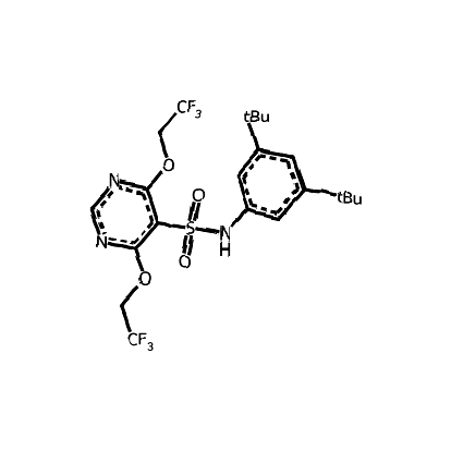 CC(C)(C)c1cc(NS(=O)(=O)c2c(OCC(F)(F)F)ncnc2OCC(F)(F)F)cc(C(C)(C)C)c1